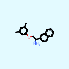 Cc1cc(C)cc(OCC(N)c2ccc3ccccc3c2)c1